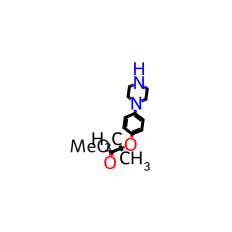 COC(=O)C(C)(C)Oc1ccc(N2CCNCC2)cc1